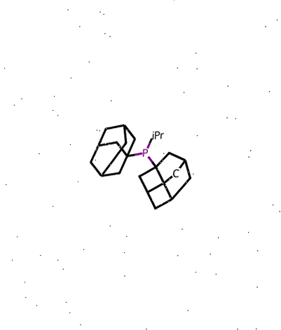 CC(C)P(C12CC3CC(CC(C3)C1)C2)C12CC3CC4CC(C1)C42C3